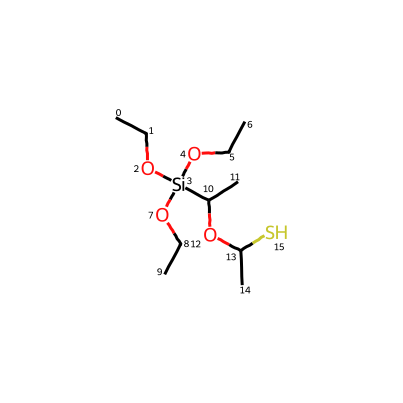 CCO[Si](OCC)(OCC)C(C)OC(C)S